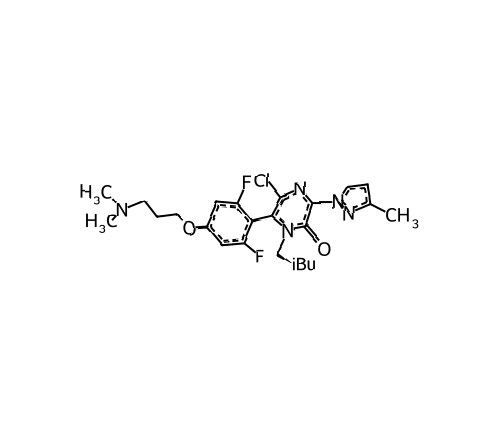 CC[C@H](C)Cn1c(-c2c(F)cc(OCCCN(C)C)cc2F)c(Cl)nc(-n2ccc(C)n2)c1=O